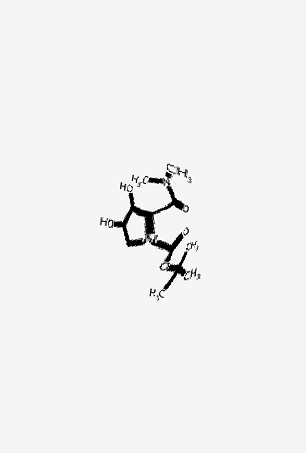 CN(C)C(=O)[C@@H]1C(O)C(O)CN1C(=O)OC(C)(C)C